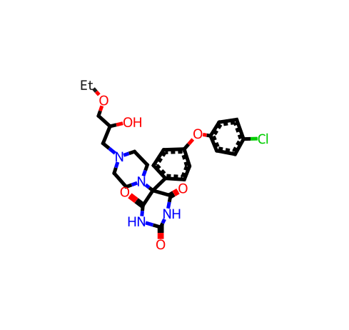 CCOCC(O)CN1CCN(C2(c3ccc(Oc4ccc(Cl)cc4)cc3)C(=O)NC(=O)NC2=O)CC1